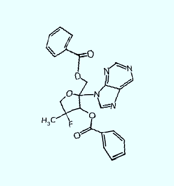 CC1(F)COC(COC(=O)c2ccccc2)(n2cnc3cncnc32)C1OC(=O)c1ccccc1